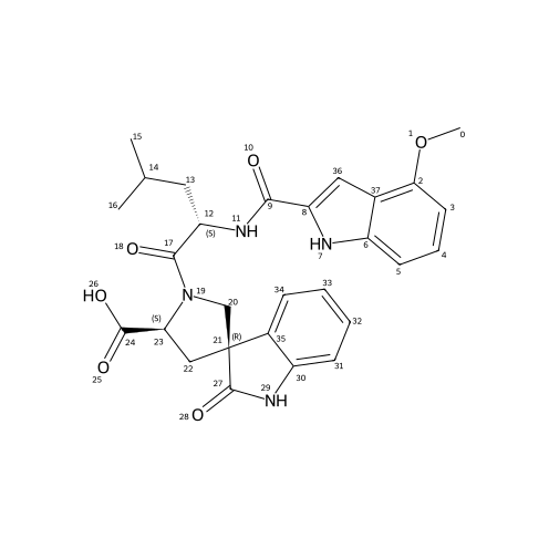 COc1cccc2[nH]c(C(=O)N[C@@H](CC(C)C)C(=O)N3C[C@]4(C[C@H]3C(=O)O)C(=O)Nc3ccccc34)cc12